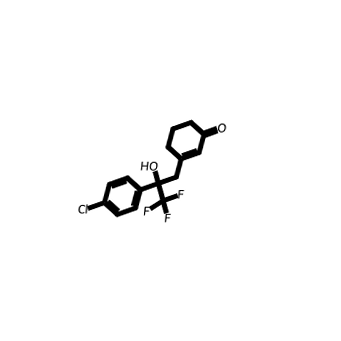 O=C1C=C(CC(O)(c2ccc(Cl)cc2)C(F)(F)F)CCC1